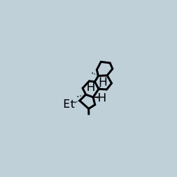 CC[C@H]1C(C)C[C@H]2[C@@H]3CCC4CCCC[C@]4(C)[C@H]3CC[C@]12C